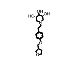 OC1[C@H](O)CN(CCc2ccc(OCC3CCOC3)cc2)C[C@@H]1O